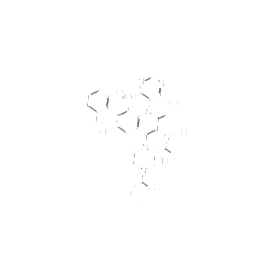 CC(C)c1ncnc(C(C)C)c1-n1c(=O)c2c(c3cc(Cl)c(-c4c(O)cccc4F)c(F)c31)N1CCN(C(=O)OC(C)(C)C)C[C@@H]1C(=O)N2C